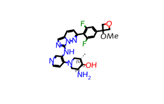 COC1(c2cc(F)c(-c3ccc4cnc(Nc5cnccc5N5C[C@@H](N)[C@H](O)[C@@H](C)C5)n4n3)c(F)c2)COC1